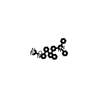 c1ccc(-c2cc(-c3cccc(-c4c(-c5ccccc5-c5cccc6nc(-c7cncnc7)oc56)ccc5ccccc45)c3)nc(-c3ccccc3)n2)cc1